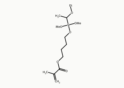 C=C(C)C(=O)OCCCCO[Si](OC)(OC)C(C)OCC